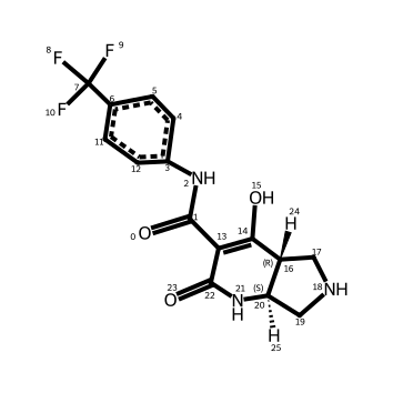 O=C(Nc1ccc(C(F)(F)F)cc1)C1=C(O)[C@@H]2CNC[C@H]2NC1=O